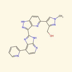 Cn1cc(-c2ccc3[nH]nc(-c4nc5c(-c6ccccn6)ccnc5[nH]4)c3n2)c(CO)n1